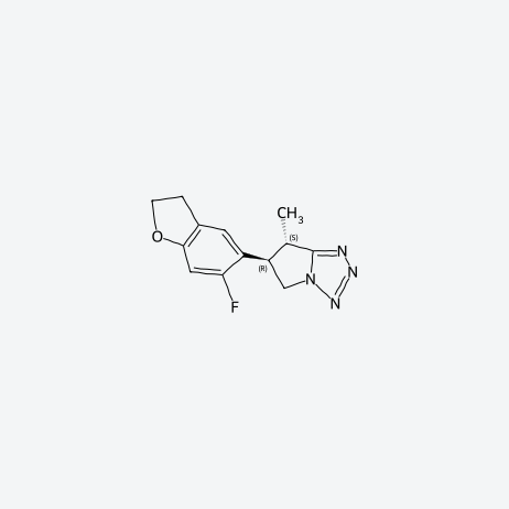 C[C@@H]1c2nnnn2C[C@H]1c1cc2c(cc1F)OCC2